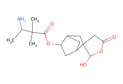 CC(N)C(C)(C)C(=O)OC1CC2CC1CC21CC(=O)OC1O